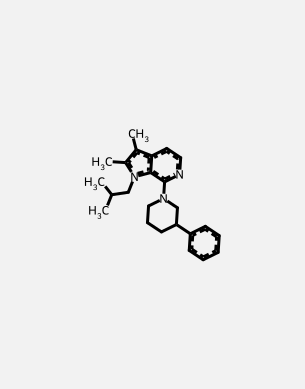 Cc1c(C)n(CC(C)C)c2c(N3CCCC(c4ccccc4)C3)nccc12